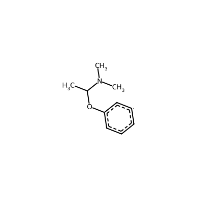 CC(Oc1c[c]ccc1)N(C)C